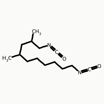 CC(CCCCCCN=C=O)CC(C)CN=C=O